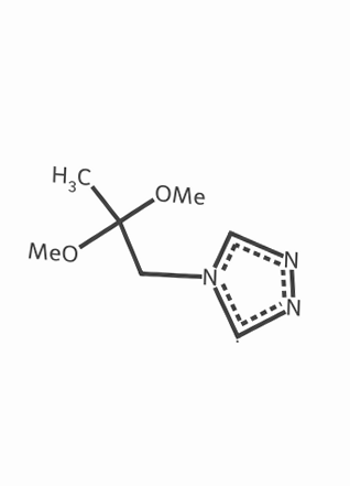 COC(C)(Cn1[c]nnc1)OC